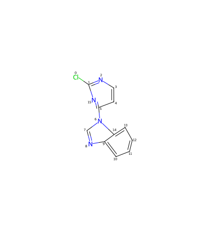 Clc1nccc(-n2cnc3ccccc32)n1